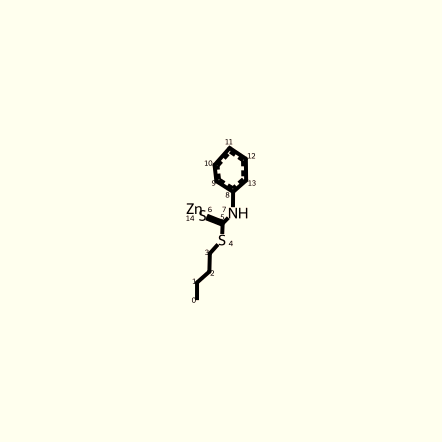 CCCCSC(=S)Nc1ccccc1.[Zn]